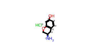 Cl.NC1COc2cc(O)ccc2C1